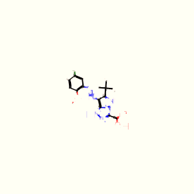 COc1ccc(Cl)cc1/N=N/c1c(C(C)(C)C)nn2c(C(=O)O)n[nH]c12